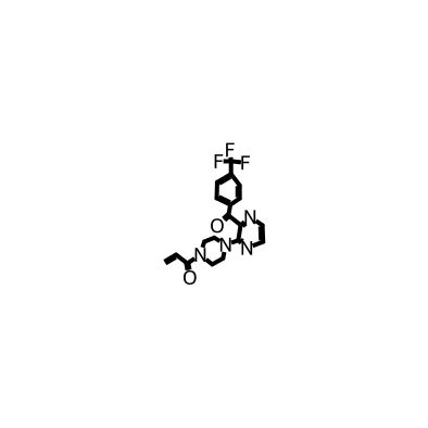 C=CC(=O)N1CCN(c2nccnc2C(=O)c2ccc(C(F)(F)F)cc2)CC1